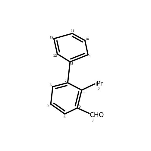 CC(C)c1c(C=O)cccc1-c1ccccc1